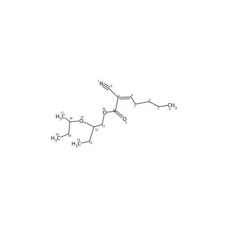 CCCCC=C(C#N)C(=O)OCC(CC)OC(C)CC